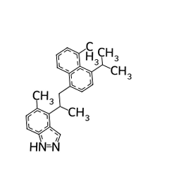 Cc1ccc2[nH]ncc2c1C(C)Cc1ccc(C(C)C)c2c(C)cccc12